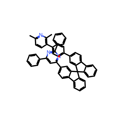 Cc1ccc(-c2ccc(-c3ccc4c(c3)C3(c5ccccc5-4)c4ccccc4-c4ccc(-c5cc(-c6ccccc6)nc(-c6ccccc6)n5)cc43)cc2)c(C)n1